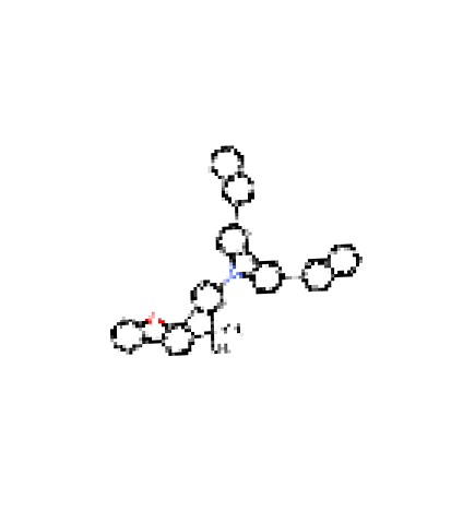 CC1(C)c2cc(-n3c4ccc(-c5ccc6ccccc6c5)cc4c4cc(-c5ccc6ccccc6c5)ccc43)ccc2-c2c1ccc1c2oc2ccccc21